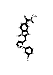 CCn1c(Cc2ccnn2-c2cccc(F)c2)nc2cc(C(=O)N(C)OC)ccc21